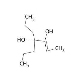 CC=C(O)C(O)(CCC)CCC